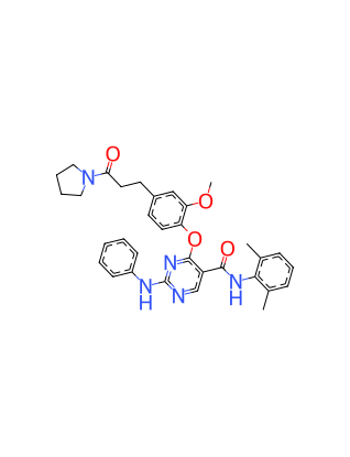 COc1cc(CCC(=O)N2CCCC2)ccc1Oc1nc(Nc2ccccc2)ncc1C(=O)Nc1c(C)cccc1C